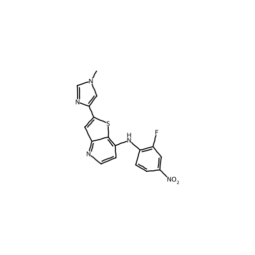 Cn1cnc(-c2cc3nccc(Nc4ccc([N+](=O)[O-])cc4F)c3s2)c1